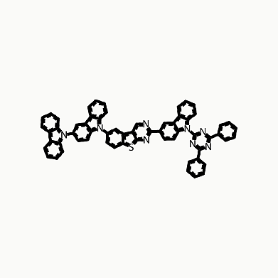 c1ccc(-c2nc(-c3ccccc3)nc(-n3c4ccccc4c4cc(-c5ncc6c(n5)sc5ccc(-n7c8ccccc8c8cc(-n9c%10ccccc%10c%10ccccc%109)ccc87)cc56)ccc43)n2)cc1